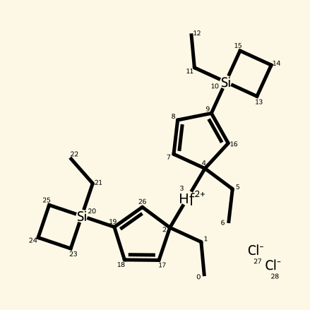 CC[C]1([Hf+2][C]2(CC)C=CC([Si]3(CC)CCC3)=C2)C=CC([Si]2(CC)CCC2)=C1.[Cl-].[Cl-]